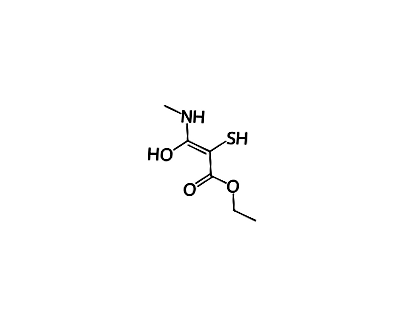 CCOC(=O)/C(S)=C(\O)NC